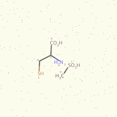 CS(=O)(=O)O.NC(CS)C(=O)O